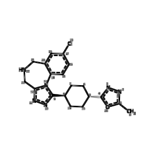 Cc1nnc([C@H]2CC[C@H](c3nnc4n3-c3ccc(Cl)cc3CNC4)CC2)o1